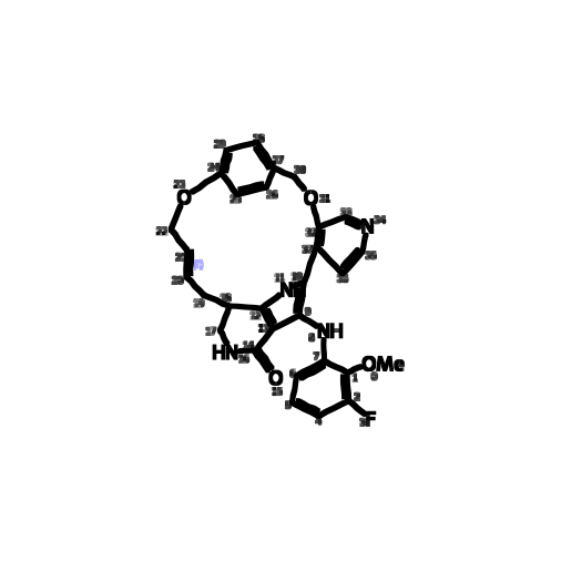 COc1c(F)cccc1Nc1c2[nH]c3c1C(=O)NCC3C/C=C/COc1ccc(cc1)COc1cnccc1-2